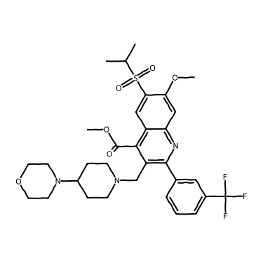 COC(=O)c1c(CN2CCC(N3CCOCC3)CC2)c(-c2cccc(C(F)(F)F)c2)nc2cc(OC)c(S(=O)(=O)C(C)C)cc12